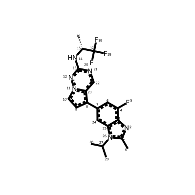 Cc1nc2c(F)cc(-c3ccn4nc(N[C@H](C)C(F)(F)F)ncc34)cc2n1C(C)C